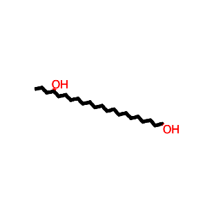 CCCC(O)CCCCCCCCCCCCCCCCCCO